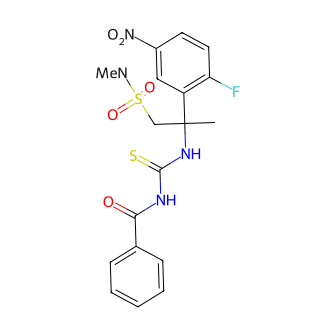 CNS(=O)(=O)CC(C)(NC(=S)NC(=O)c1ccccc1)c1cc([N+](=O)[O-])ccc1F